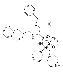 CS(=O)(=O)[N+]1(NC(=O)C(COCc2ccccc2)NCc2ccc3ccccc3c2)CC2(CCNCC2)c2ccccc21.Cl